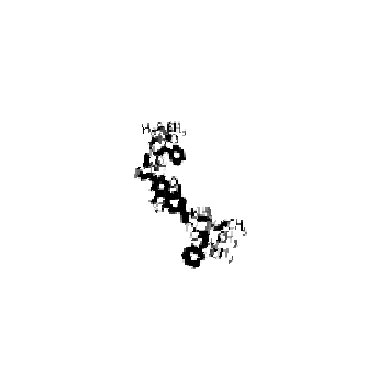 CCCN(Cc1ncc(-c2cc3c4c(c2)OCc2cc(-c5cnc(CN(CCC)C(=O)[C@H](NC(=O)N(C)C)c6ccccc6)[nH]5)cc(c2-4)OC3)[nH]1)C(=O)[C@@H](C1=CC=CCC1)N(C)C